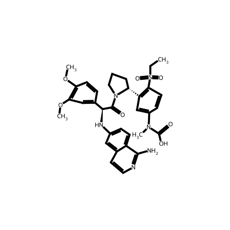 CCS(=O)(=O)c1ccc(N(C)C(=O)O)cc1[C@H]1CCCN1C(=O)[C@@H](Nc1ccc2c(N)nccc2c1)c1ccc(OC)c(OC)c1